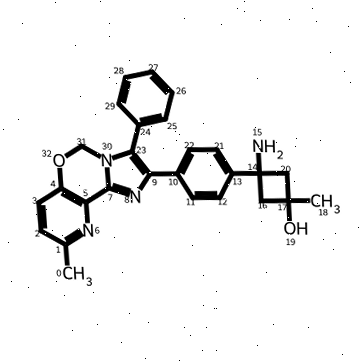 Cc1ccc2c(n1)-c1nc(-c3ccc(C4(N)CC(C)(O)C4)cc3)c(-c3ccccc3)n1CO2